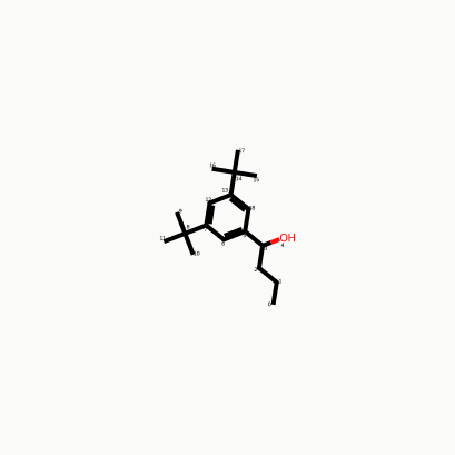 CCCC(O)c1cc(C(C)(C)C)cc(C(C)(C)C)c1